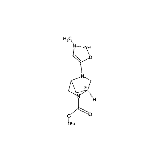 CN1C=C(N2C[C@@H]3CC2CN3C(=O)OC(C)(C)C)ON1